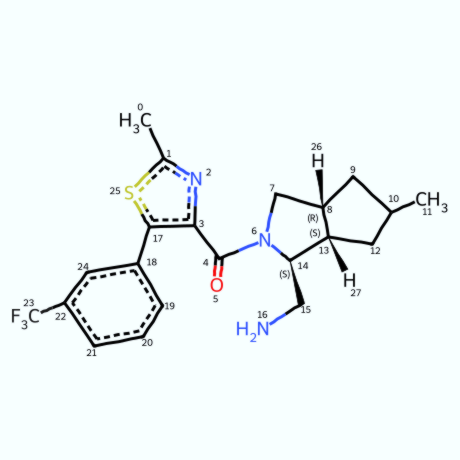 Cc1nc(C(=O)N2C[C@@H]3CC(C)C[C@@H]3[C@H]2CN)c(-c2cccc(C(F)(F)F)c2)s1